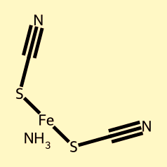 N.N#C[S][Fe][S]C#N